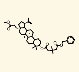 C=C(C)[C@@H]1CC[C@]2(CCC(=O)OC)CC[C@]3(C)C(CCC4[C@@]5(C)CC[C@H](OC(=O)CC(C)(C)CC(=O)OCc6ccccc6)C(C)(C)C5CC[C@]43C)C12